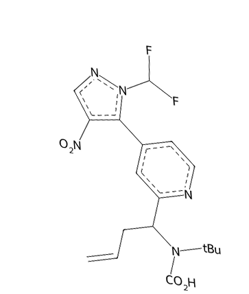 C=CCC(c1cc(-c2c([N+](=O)[O-])cnn2C(F)F)ccn1)N(C(=O)O)C(C)(C)C